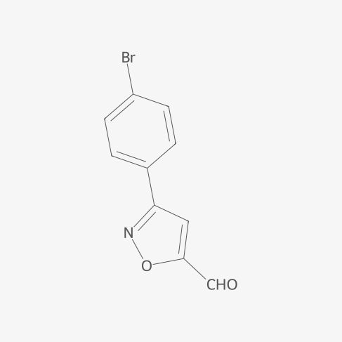 O=Cc1cc(-c2ccc(Br)cc2)no1